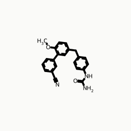 COc1ccc(Cc2ccc(NC(N)=O)cc2)cc1-c1cccc(C#N)c1